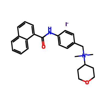 C[N+](C)(Cc1ccc(NC(=O)c2cccc3ccccc23)cc1)C1CCOCC1.[I-]